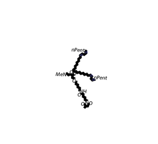 CCCCC/C=C\C/C=C\CCCCCCCCC1(CCCCCCCC/C=C\C/C=C\CCCCC)OC(CCNC)C(CCOCCCCCCNC(=O)CCCCCN2C(=O)CC(C)C2=O)O1